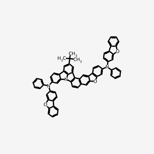 CC(C)(C)c1cc2c3ccc(N(c4ccccc4)c4ccc5c(c4)oc4ccccc45)cc3n3c4ccc5cc6oc7cc(N(c8ccccc8)c8ccc9c(c8)oc8ccccc89)ccc7c6cc5c4c(c1)c23